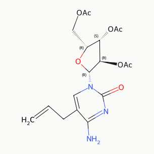 C=CCc1cn([C@@H]2O[C@H](COC(C)=O)[C@H](OC(C)=O)[C@H]2OC(C)=O)c(=O)nc1N